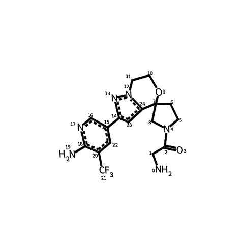 NCC(=O)N1CCC2(C1)OCCn1nc(-c3cnc(N)c(C(F)(F)F)c3)cc12